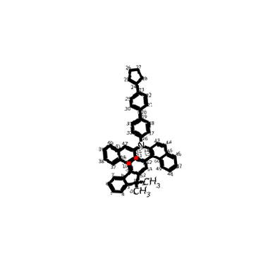 CC1(C)c2ccccc2-c2ccc(-c3c(N(c4ccc(-c5ccc(C6CCCC6)cc5)cc4)c4ccc5ccccc5c4)ccc4ccccc34)cc21